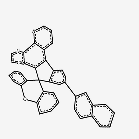 c1ccc2c(c1)Oc1ccccc1C21c2cc(-c3ccc4ccccc4c3)ccc2-c2c1c1cccnc1c1ncccc21